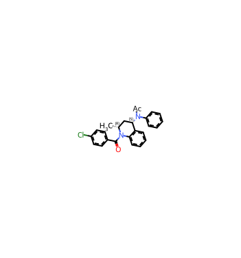 CC(=O)N(c1ccccc1)[C@H]1C[C@@H](C)N(C(=O)c2ccc(Cl)cc2)c2ccccc21